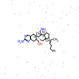 CC(C)CCCC(C)[C@H]1CC[C@H]2[C@H](CN)[C@@H]([C@@]3(C)Cc4cnc(N)nc4C[C@@H]3CO)CC[C@]12C